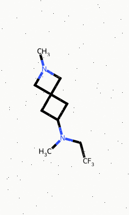 CN1CC2(CC(N(C)CC(F)(F)F)C2)C1